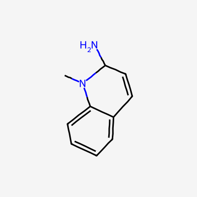 CN1c2ccccc2C=CC1N